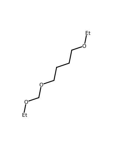 CCOCCCCOCOCC